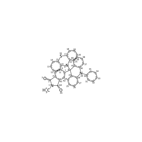 CN1C(=O)c2ccc(C3(N4c5ccccc5Sc5ccccc54)c4ccccc4N(c4ccccc4)c4ccccc43)cc2C1=O